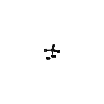 O=S(=O)(O)Cl.[Co]